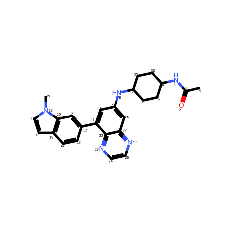 CC(=O)NC1CCC(Nc2cc(-c3ccc4ccn(C)c4c3)c3nccnc3c2)CC1